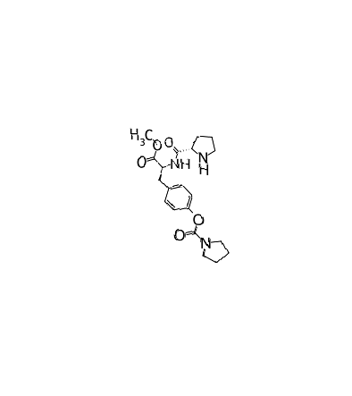 COC(=O)[C@H](Cc1ccc(OC(=O)N2CCCC2)cc1)NC(=O)[C@@H]1CCCN1